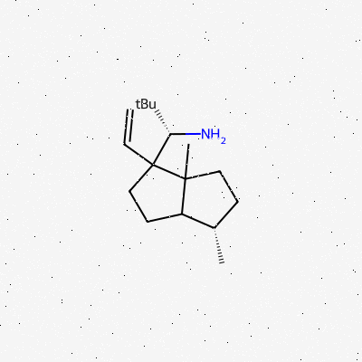 C=CC1([C@@H](N)C(C)(C)C)CCC2[C@@H](C)CCC21C